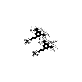 CC(C)(C)c1cc(CCCOP(=O)([O-])[O-])cc(C(C)(C)C)c1O.CC(C)(C)c1cc(CCCOP(=O)([O-])[O-])cc(C(C)(C)C)c1O.[Ca+2].[Ca+2]